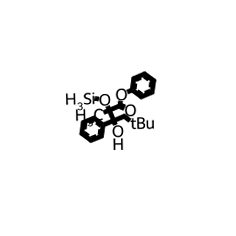 CC(C)(C)CC(O)(c1ccccc1)C(C)(O[SiH3])C(=O)Oc1ccccc1